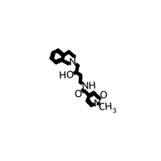 Cn1ccc(C(=O)NCCC(O)CN2CCc3ccccc3C2)cc1=O